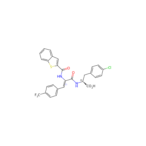 O=C(N[C@@H](Cc1ccc(Cl)cc1)C(=O)O)/C(=C/c1ccc(C(F)(F)F)cc1)NC(=O)c1cc2ccccc2s1